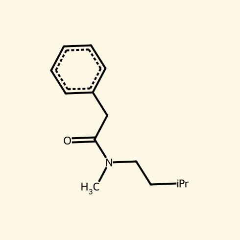 CC(C)CCN(C)C(=O)Cc1ccccc1